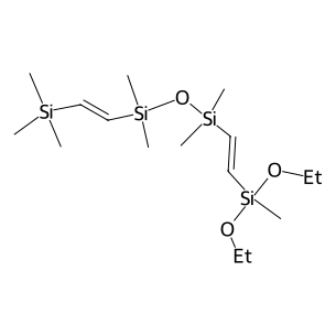 CCO[Si](C)(/C=C/[Si](C)(C)O[Si](C)(C)/C=C/[Si](C)(C)C)OCC